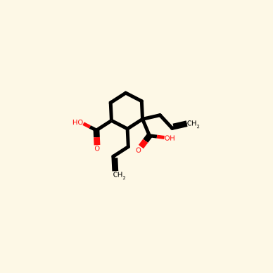 C=CCC1C(C(=O)O)CCCC1(CC=C)C(=O)O